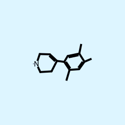 Cc1cc(C)c(C2=CC[N]CC2)cc1C